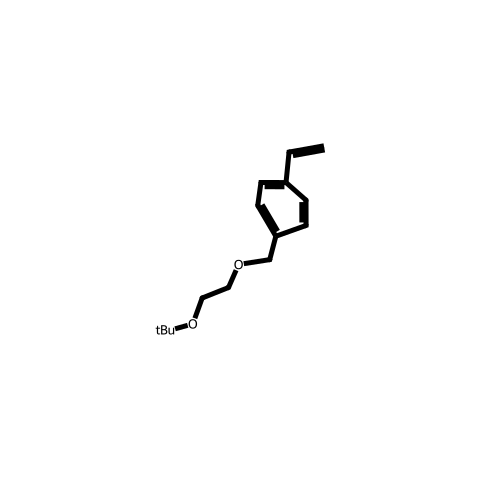 C=Cc1ccc(COCCOC(C)(C)C)cc1